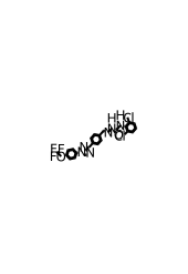 O=C(N/N=C/c1ccc(-c2ncn(-c3ccc(OC(F)(F)F)cc3)n2)cc1)Nc1c(Cl)cccc1Cl